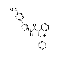 O=C(Nn1ccc(-c2ccc([N+](=O)[O-])cc2)n1)c1cc(-c2ccccc2)nc2ccccc12